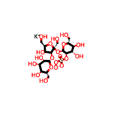 O=S(=O)(O[O-])O[C@H]1[C@@H](O[C@]2(CO)O[C@H](CO)[C@@H](O)[C@@H]2O[C@H]2O[C@H](CO)[C@@H](O)[C@H](O)[C@H]2O)O[C@H](CO)[C@@H](O)[C@@H]1O.[K+]